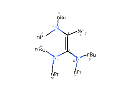 CCCCN(CCC)C([SiH3])=C(N(CCC)CCCC)N(CCC)CCCC